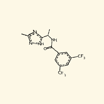 Cc1n[nH]c(C(C)NC(=O)c2cc(C(F)(F)F)cc(C(F)(F)F)c2)n1